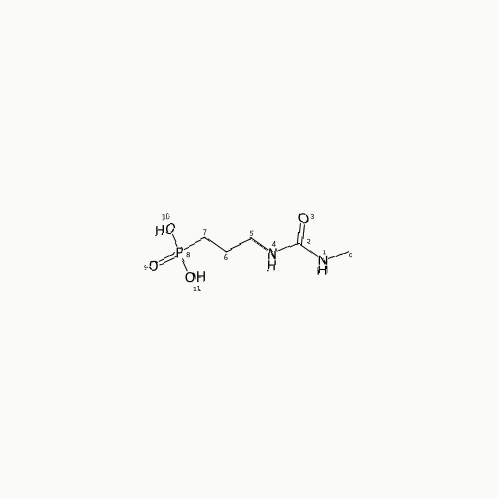 CNC(=O)NCCCP(=O)(O)O